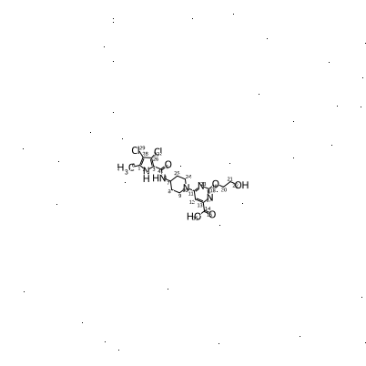 Cc1[nH]c(C(=O)NC2CCN(c3cc(C(=O)O)nc(OCCO)n3)CC2)c(Cl)c1Cl